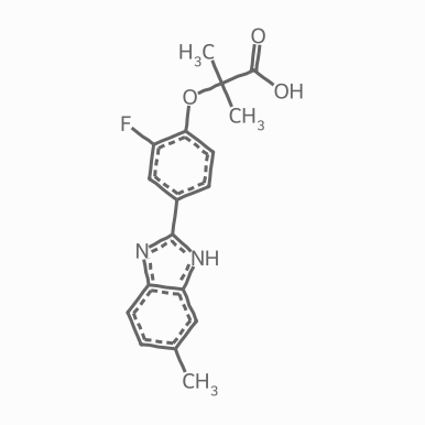 Cc1ccc2nc(-c3ccc(OC(C)(C)C(=O)O)c(F)c3)[nH]c2c1